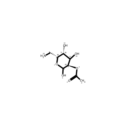 CC(=O)O[C@H]1C(O)O[C@H](CN)[C@H](O)C1O